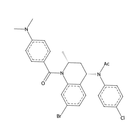 CC(=O)N(c1ccc(Cl)cc1)[C@H]1C[C@@H](C)N(C(=O)c2ccc(N(C)C)cc2)c2cc(Br)ccc21